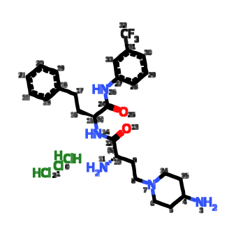 Cl.Cl.Cl.NC1CCN(CC[C@H](N)C(=O)N[C@@H](CCc2ccccc2)C(=O)Nc2cccc(C(F)(F)F)c2)CC1